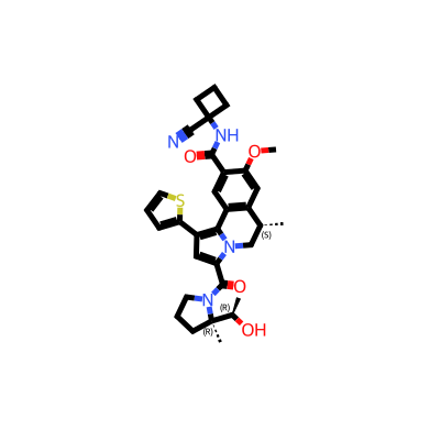 COc1cc2c(cc1C(=O)NC1(C#N)CCC1)-c1c(-c3cccs3)cc(C(=O)N3CCC[C@]3(C)[C@@H](C)O)n1C[C@H]2C